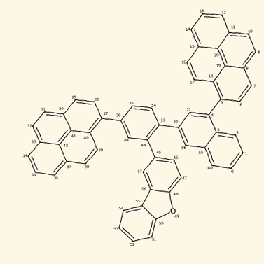 c1ccc2c(-c3ccc4ccc5cccc6ccc3c4c56)cc(-c3ccc(-c4ccc5ccc6cccc7ccc4c5c67)cc3-c3ccc4oc5ccccc5c4c3)cc2c1